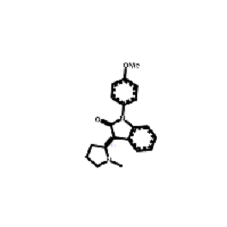 COc1ccc(N2C(=O)/C(=C3\CCCN3C)c3ccccc32)cc1